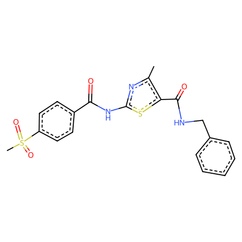 Cc1nc(NC(=O)c2ccc(S(C)(=O)=O)cc2)sc1C(=O)NCc1ccccc1